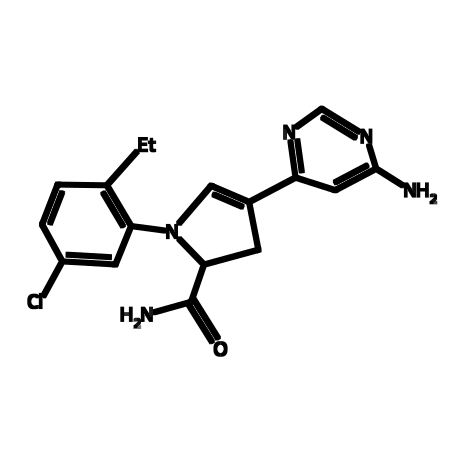 CCc1ccc(Cl)cc1N1C=C(c2cc(N)ncn2)CC1C(N)=O